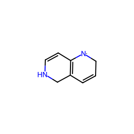 C1=CC2=C(C=CNC2)[N]C1